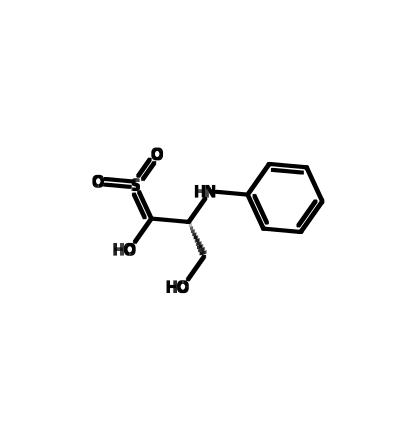 O=S(=O)=C(O)[C@@H](CO)Nc1ccccc1